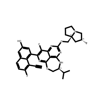 C#Cc1c(F)ccc2cc(O)cc(-c3nc4c5c(nc(OC[C@@]67CCCN6C[C@H](F)C7)nc5c3F)N[C@@H](C(C)C)CO4)c12